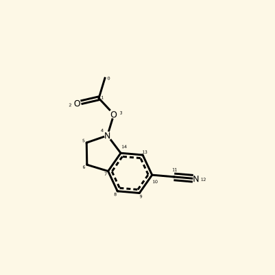 CC(=O)ON1CCc2ccc(C#N)cc21